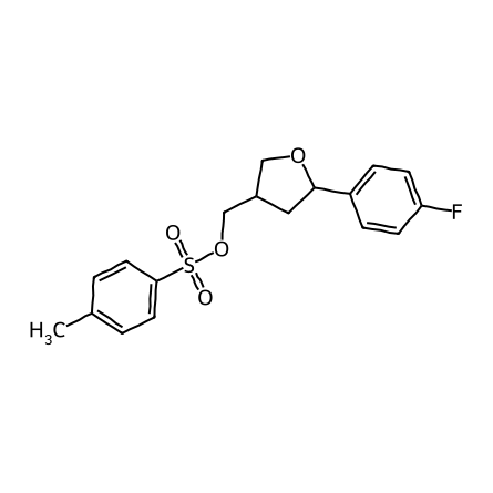 Cc1ccc(S(=O)(=O)OCC2COC(c3ccc(F)cc3)C2)cc1